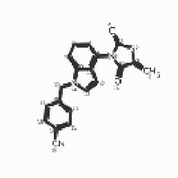 C=C1SC(=O)N(c2cccc3c2ccn3Cc2ccc(C#N)cc2)C1=O